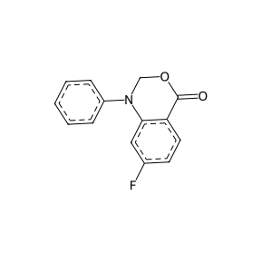 O=C1OCN(c2ccccc2)c2cc(F)ccc21